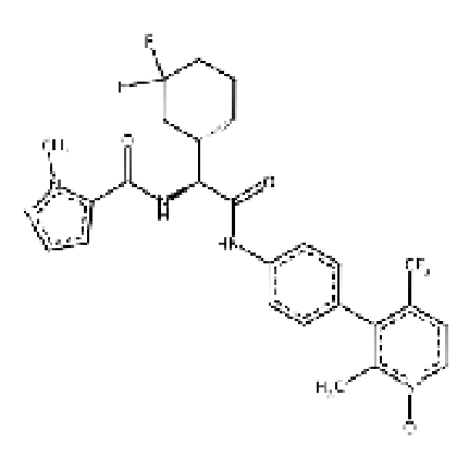 Cc1c(-c2ccc(NC(=O)[C@@H](NC(=O)c3ccnn3C)[C@H]3CCCC(F)(F)C3)cc2)c(C(F)(F)F)cc[n+]1[O-]